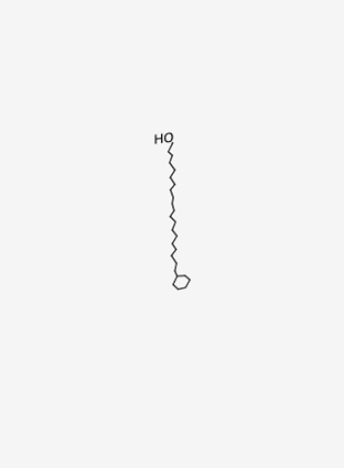 OCCCCCCCCCCCCCCCCCCCCC1CCCCC1